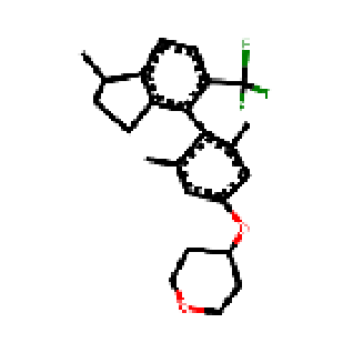 Cc1cc(OC2CCOCC2)cc(C)c1-c1c(C(F)(F)F)ccc2c1CCC2C